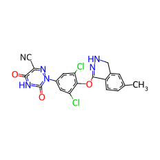 Cc1ccc2c(c1)CNN=C2Oc1c(Cl)cc(-n2nc(C#N)c(=O)[nH]c2=O)cc1Cl